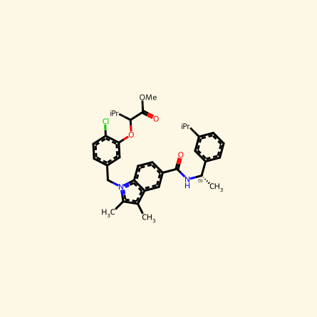 COC(=O)C(Oc1cc(Cn2c(C)c(C)c3cc(C(=O)N[C@@H](C)c4cccc(C(C)C)c4)ccc32)ccc1Cl)C(C)C